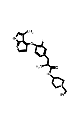 Cc1c[nH]c2nccc(Oc3ccc(CC(N)C(=O)NC4CCN(CC(C)C)CC4)cc3F)c12